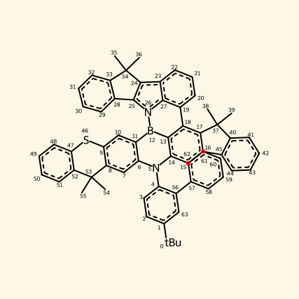 CC(C)(C)c1ccc(N2c3cc4c(cc3B3c5c2cc2c(c5-c5cccc6c7c(n3c56)-c3ccccc3C7(C)C)C(C)(C)c3ccccc3-2)Sc2ccccc2C4(C)C)c(-c2ccccc2)c1